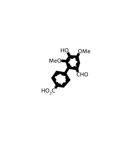 COc1cc(C=O)c(-c2ccc(C(=O)O)cc2)c(OC)c1O